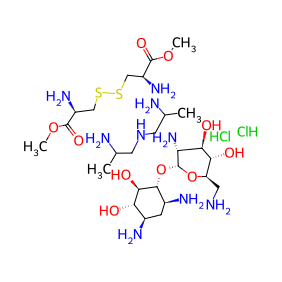 CC(N)CNCC(C)N.COC(=O)[C@@H](N)CSSC[C@H](N)C(=O)OC.Cl.Cl.NC[C@H]1O[C@H](O[C@H]2[C@H](O)[C@@H](O)[C@H](N)C[C@@H]2N)[C@H](N)[C@@H](O)[C@@H]1O